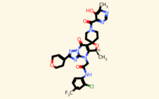 Cc1ncnc(C(=O)N2CCC3(CC2)O[C@@H](C)c2c3c(=O)n3nc(C4=CCOCC4)nc3n2CC(=O)Nc2ccc(C(F)(F)F)cc2Cl)c1O